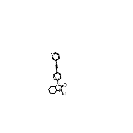 CCN1C(=O)N(c2ccc(C#Cc3cccnc3)cn2)C2CCCCC21